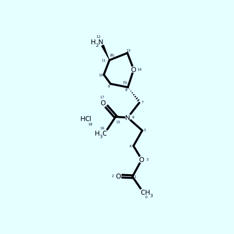 CC(=O)OCCN(C[C@@H]1CC[C@@H](N)CO1)C(C)=O.Cl